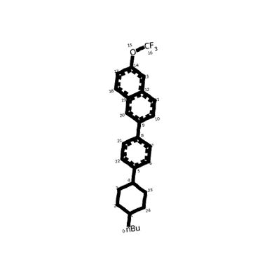 CCCCC1CCC(c2ccc(-c3ccc4cc(OC(F)(F)F)ccc4c3)cc2)CC1